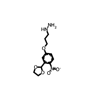 NNCCCOc1ccc([N+](=O)[O-])c(C2OCCO2)c1